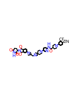 N#Cc1ccc(N2CCC(C(=O)Nc3ccc(N4CCC5(CC4)CN(CC4CN(c6ccc7c(c6)C(=O)N(C6CCC(=O)NC6=O)C7=O)C4)C5)cn3)CC2)cc1C(F)(F)F